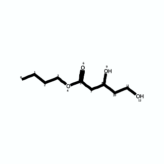 CCCCOC(=O)CC(O)CCO